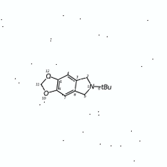 CC(C)(C)N1Cc2cc3c(cc2C1)OCO3